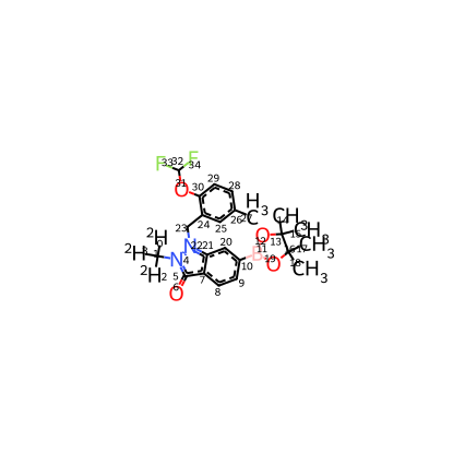 [2H]C([2H])([2H])n1c(=O)c2ccc(B3OC(C)(C)C(C)(C)O3)cc2n1Cc1cc(C)ccc1OC(F)F